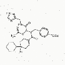 COc1ccc(CC(C(=O)N2CCC(C(C)=O)(C3CCCCC3)CC2)N(OC(=O)C(F)(F)F)C(=O)NCc2c[nH]cn2)cc1